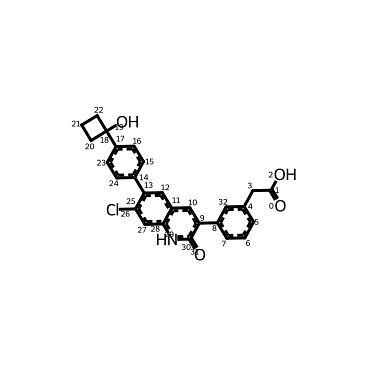 O=C(O)Cc1cccc(-c2cc3cc(-c4ccc(C5(O)CCC5)cc4)c(Cl)cc3[nH]c2=O)c1